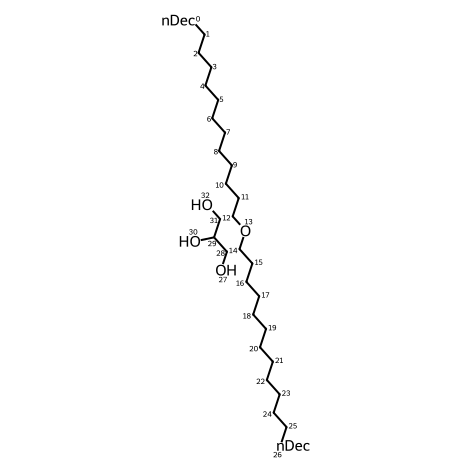 CCCCCCCCCCCCCCCCCCCCCCOCCCCCCCCCCCCCCCCCCCCCC.OCC(O)CO